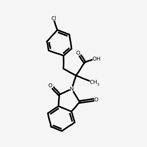 CC(Cc1ccc(Cl)cc1)(C(=O)O)N1C(=O)c2ccccc2C1=O